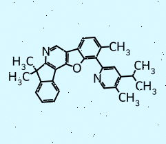 Cc1cnc(-c2c(C)ccc3c2oc2c4c(ncc23)C(C)(C)c2ccccc2-4)cc1C(C)C